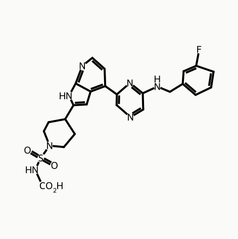 O=C(O)NS(=O)(=O)N1CCC(c2cc3c(-c4cncc(NCc5cccc(F)c5)n4)ccnc3[nH]2)CC1